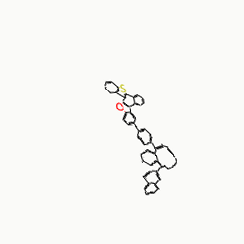 C1=Cc2sc3c4ccccc4c4c5cc(-c6ccc(-c7ccccccc(-c8ccc9ccccc9c8)c8c7=CCCC=8)cc6)ccc5oc4c3c2CC1